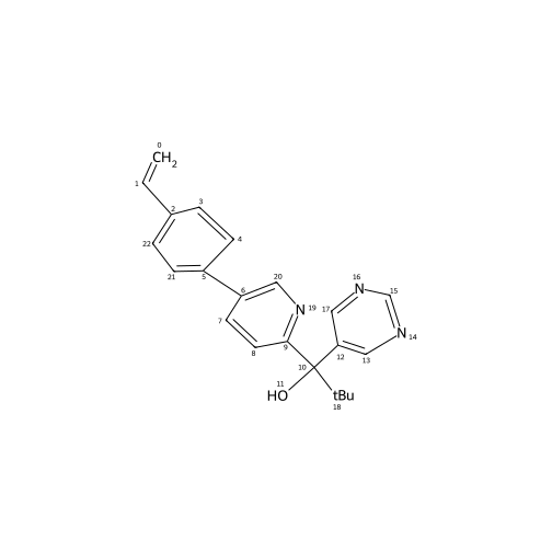 C=Cc1ccc(-c2ccc(C(O)(c3cncnc3)C(C)(C)C)nc2)cc1